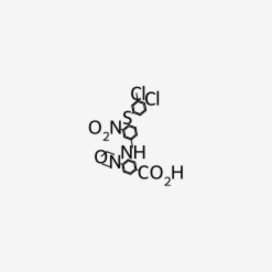 O=C(O)c1ccc(N2CCOCC2)c(NCc2ccc(Sc3ccc(Cl)c(Cl)c3)c([N+](=O)[O-])c2)c1